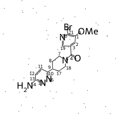 COc1cc(C(=O)N2CCC(c3ccc(N)nn3)CC2)cnc1Br